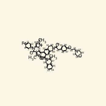 Cc1c(C(=O)N(c2ccc(F)cc2)c2cnn(C)c2)cc(-c2cc3c(cc2C(=O)N2Cc4ccccc4C[C@H]2C)CN(C(=O)Cc2ccc(OCCN4CCOCC4)cc2)CC3)n1C